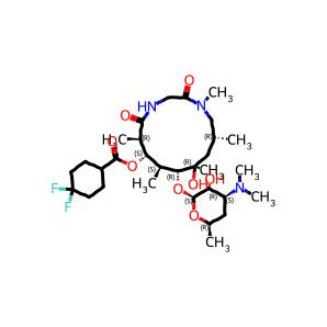 C[C@H]1CN(C)C(=O)CNC(=O)[C@H](C)[C@@H](OC(=O)C2CCC(F)(F)CC2)[C@H](C)[C@@H](O[C@@H]2O[C@H](C)C[C@H](N(C)C)[C@H]2O)[C@](C)(O)C1